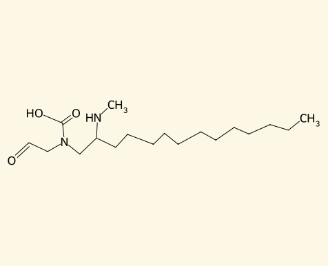 CCCCCCCCCCCCC(CN(CC=O)C(=O)O)NC